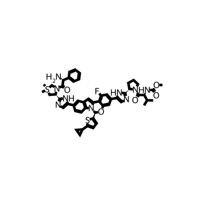 COC(=O)N[C@H](C(=O)N1CCC[C@H]1c1ncc(-c2cc(F)c3c(c2)O[C@@H](c2ccc(C4CC4)s2)n2c-3cc3cc(-c4cnc([C@@H]5CS(C)(C)CN5C(=O)[C@H](N)c5ccccc5)[nH]4)ccc32)[nH]1)C(C)C